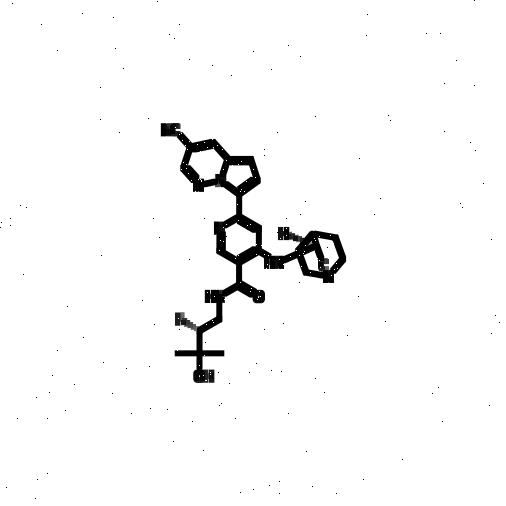 CC(C)(O)[C@H](F)CNC(=O)c1cnc(-c2ccc3cc(C#N)cnn23)cc1N[C@@H]1CN2CCC1CC2